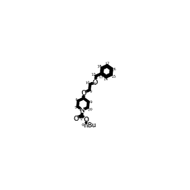 CCCCOC(=O)N1CCC(OCCOCc2ccccc2)CC1